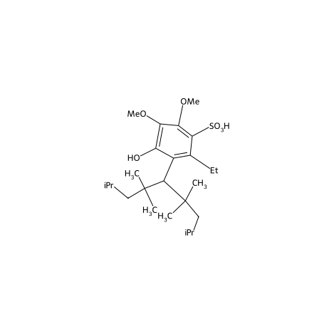 CCc1c(C(C(C)(C)CC(C)C)C(C)(C)CC(C)C)c(O)c(OC)c(OC)c1S(=O)(=O)O